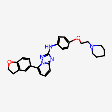 c1cc(-c2ccc3c(c2)CCO3)n2nc(Nc3ccc(OCCN4CCCCC4)cc3)nc2c1